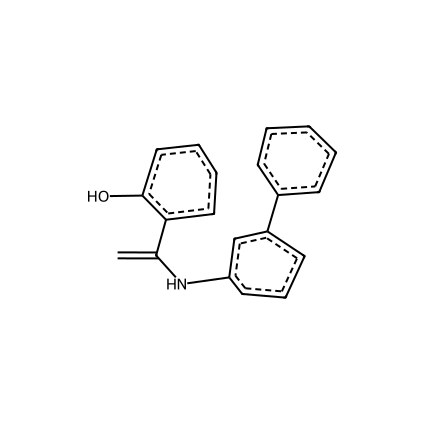 C=C(Nc1cccc(-c2ccccc2)c1)c1ccccc1O